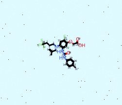 C=C(C)CN(CCCC(F)(F)F)c1cc(F)c(OCC(=O)O)cc1NC(=O)Nc1ccc(C)cc1